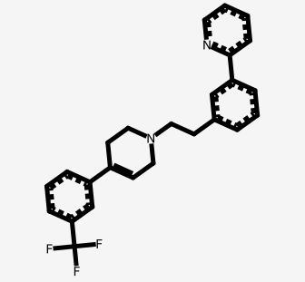 FC(F)(F)c1cccc(C2=CCN(CCc3cccc(-c4ccccn4)c3)CC2)c1